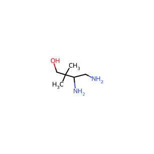 CC(C)(CO)C(N)CN